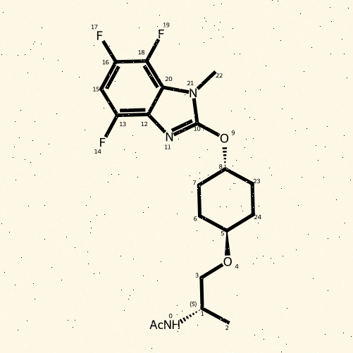 CC(=O)N[C@@H](C)CO[C@H]1CC[C@H](Oc2nc3c(F)cc(F)c(F)c3n2C)CC1